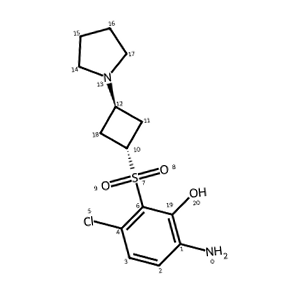 Nc1ccc(Cl)c(S(=O)(=O)[C@H]2C[C@H](N3CCCC3)C2)c1O